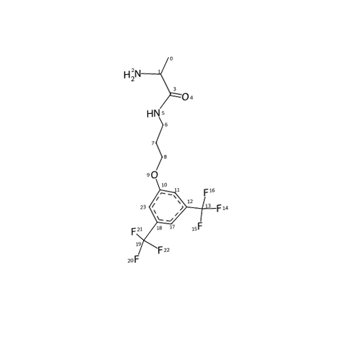 CC(N)C(=O)NCCCOc1cc(C(F)(F)F)cc(C(F)(F)F)c1